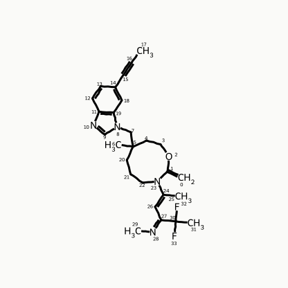 C=C1OCCC(C)(Cn2cnc3ccc(C#CC)cc32)CCCN1/C(C)=C/C(=N\C)C(C)(F)F